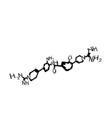 N=C(N)N1CC=C(c2ccc(NC(=O)c3ccc(C4=CCN(C(=N)N)CC4)c(Cl)c3)c(N)c2)CC1